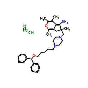 CC1=C(C)C2=C(N)C(C)(CN3CCN(CCCCCOC(c4ccccc4)c4ccccc4)CC3)CC2=C(C)O1.Cl.Cl.Cl